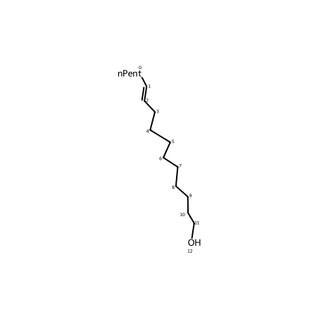 CCCCCC=CCCCCCCCCCO